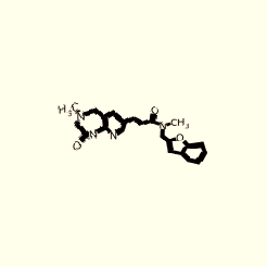 CN1CC(=O)Nc2ncc(/C=C/C(=O)N(C)Cc3cc4ccccc4o3)cc2C1